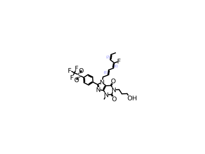 C\C=C/C(F)=C\C=C\Cn1c(-c2ccc(S(=O)(=O)C(F)(F)F)cc2)nc2c1c(=O)n(CCCO)c(=O)n2C